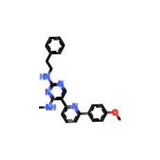 CNc1nc(NCCc2ccccc2)ncc1-c1cccc(-c2ccc(OC)cc2)n1